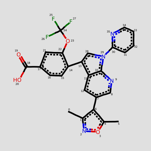 Cc1noc(C)c1-c1cnc2c(c1)c(-c1ccc(C(=O)O)cc1OC(F)(F)F)cn2-c1ccccn1